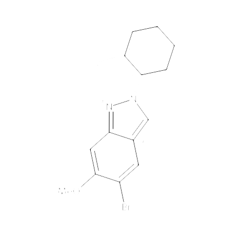 COc1cc2nn([C@H]3CCCC[C@H]3C)cc2cc1Br